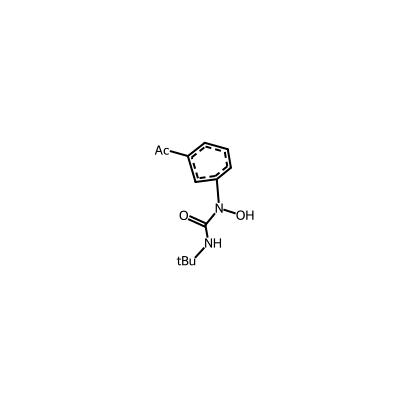 CC(=O)c1cccc(N(O)C(=O)NC(C)(C)C)c1